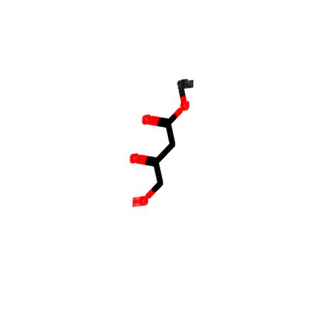 CC(C)(C)OC(=O)CC(=O)CO